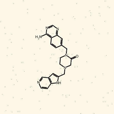 Nc1ncnc2cc(CN3CCN(Cc4cc5cnccc5[nH]4)CC3=O)ccc12